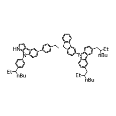 CCCCC(CC)Cc1ccc2c(c1)c1cc(CC(CC)CCCC)ccc1n2-c1ccc2c(c1)-c1ccccc1[C@H]2CCc1ccc(-c2ccc3c(c2)c2cc[nH]c2n3-c2ccc(C(CC)CCCC)cc2)cc1